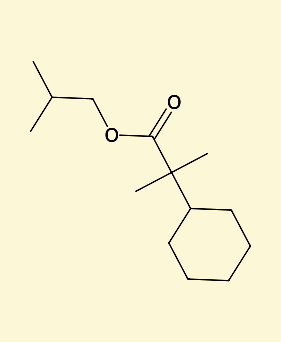 CC(C)COC(=O)C(C)(C)C1CCCCC1